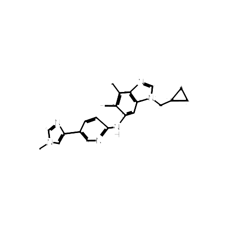 Cc1c(F)c(Nc2ccc(-c3cn(C)cn3)cn2)cc2c1ncn2CC1CC1